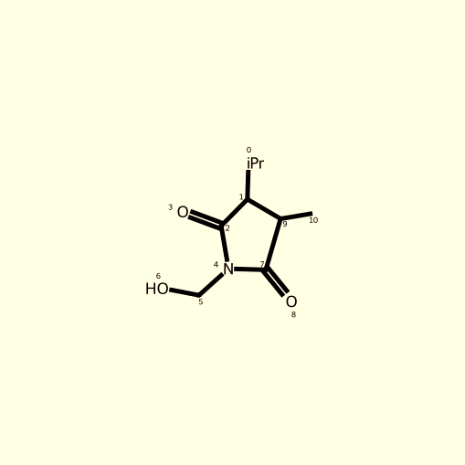 CC(C)C1C(=O)N(CO)C(=O)C1C